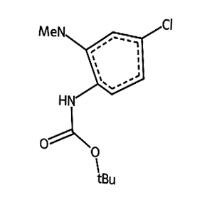 CNc1cc(Cl)ccc1NC(=O)OC(C)(C)C